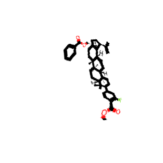 C=C(C)[C@@H]1CC[C@]2(COC(=O)c3ccccc3)CC[C@]3(C)[C@H](CC[C@@H]4[C@@]5(C)CC=C(c6ccc(C(=O)OC)c(F)c6)C(C)(C)[C@@H]5CC[C@]43C)[C@@H]12